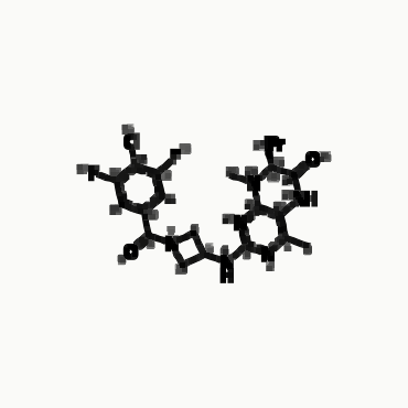 Cc1nc(NC2CN(C(=O)c3cc(F)c(Cl)c(F)c3)C2)nc2c1NC(=O)[C@H](C(C)C)N2C